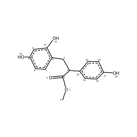 COC(=O)C(Cc1ccc(O)cc1O)c1ccc(O)cc1